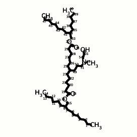 CCCCCCCCC(CCCCCC)COC(=O)CCCCCC(CCCCCC(=O)OCC(CCCCCC)CCCCCCCC)CCCN(C)CCO